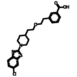 O=C(O)c1cccc(CCOCCC2CCN(c3nc4ccc(Cl)cc4s3)CC2)c1